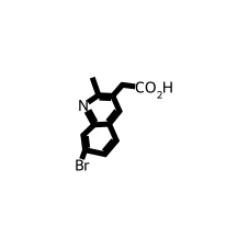 Cc1nc2cc(Br)ccc2cc1CC(=O)O